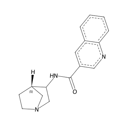 O=C(NC1CN2CC[C@H]1C2)c1cnc2ccccc2c1